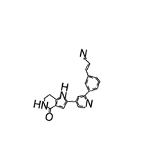 N#CC=Cc1cccc(-c2cc(-c3cc4c([nH]3)CCNC4=O)ccn2)c1